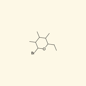 CCC1OC(Br)C(C)C(C)C1C